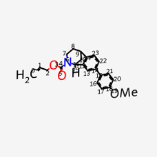 C=CCOC(=O)N1CCC2C[C@@H]1c1cc(-c3ccc(OC)cc3)ccc12